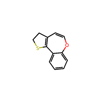 C1=CC2=C(SCC2)c2ccccc2O1